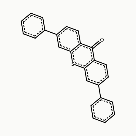 O=c1c2ccc(-c3ccccc3)cc2sc2cc(-c3ccccc3)ccc12